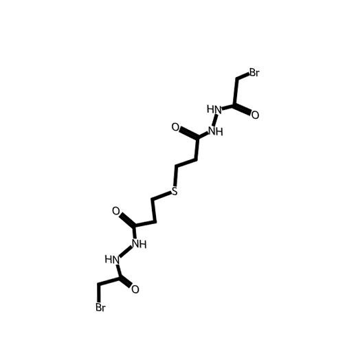 O=C(CBr)NNC(=O)CCSCCC(=O)NNC(=O)CBr